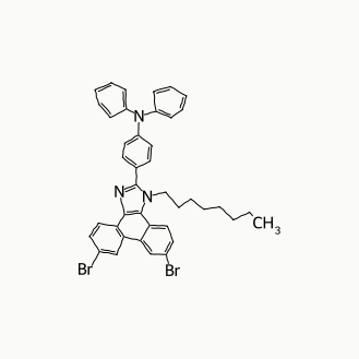 CCCCCCCCn1c(-c2ccc(N(c3ccccc3)c3ccccc3)cc2)nc2c3ccc(Br)cc3c3cc(Br)ccc3c21